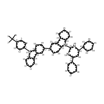 CC(C)(C)c1ccc(-n2c3ccccc3c3cc(-c4ccc5c(c4)c4ccccc4n5-c4nc(-c5ccccc5)cc(-c5ccccc5)n4)ccc32)cc1